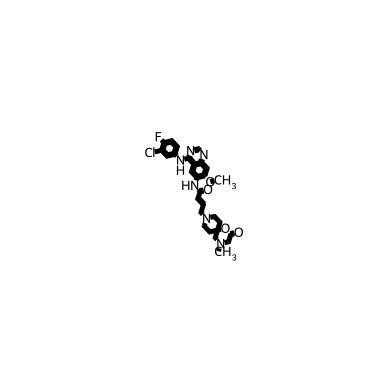 COc1cc2ncnc(Nc3ccc(F)c(Cl)c3)c2cc1NC(=O)C=CCN1CCC2(CC1)CN(C)CC(=O)O2